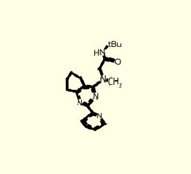 CN(CC(=O)NC(C)(C)C)c1nc(-c2ccccn2)nc2c1CCCC2